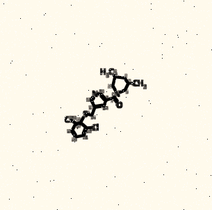 CC1CC(C)CN(C(=O)c2cncc(CSc3c(Cl)cccc3Cl)c2)C1